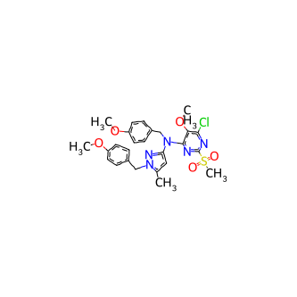 COc1ccc(CN(c2cc(C)n(Cc3ccc(OC)cc3)n2)c2nc(S(C)(=O)=O)nc(Cl)c2OC)cc1